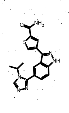 CC(C)n1cnnc1-c1ccc2[nH]nc(-c3csc(C(N)=O)c3)c2c1